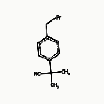 CC(C)Cc1ccc(C(C)(C)C#N)cc1